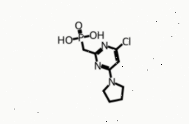 O=P(O)(O)Cc1nc(Cl)cc(N2CCCC2)n1